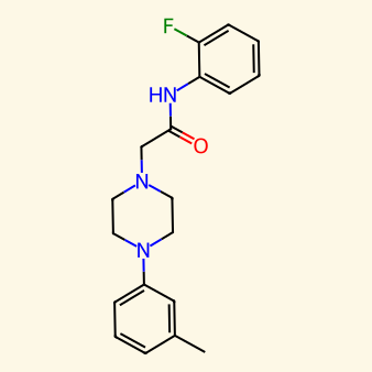 Cc1cccc(N2CCN(CC(=O)Nc3ccccc3F)CC2)c1